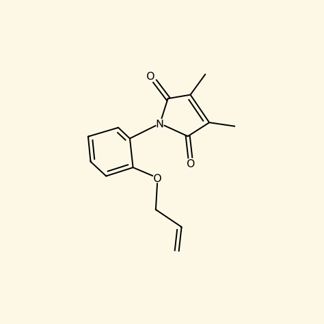 C=CCOc1ccccc1N1C(=O)C(C)=C(C)C1=O